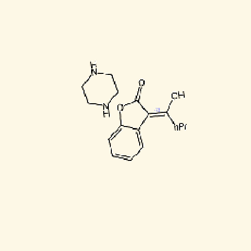 C1CNCCN1.CCC/C(O)=C1/C(=O)Oc2ccccc21